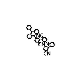 N#Cc1ccc2c(c1)c1ccccc1n2-c1ccc(C#N)c(-c2cc(-c3c4ccccc4c(-c4ccccc4)c4ccccc34)ccc2C#N)c1